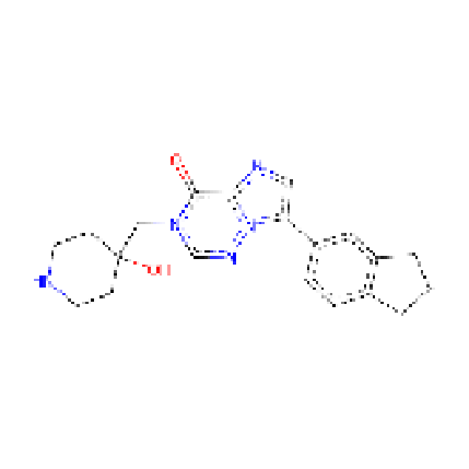 O=c1c2ncc(-c3ccc4c(c3)C[CH]C4)n2ncn1CC1(O)CCNCC1